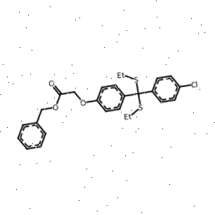 CCSC(SCC)(c1ccc(Cl)cc1)c1ccc(OCC(=O)OCc2ccccc2)cc1